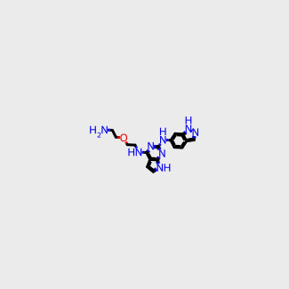 NCCOCCNc1nc(Nc2ccc3cn[nH]c3c2)nc2[nH]ccc12